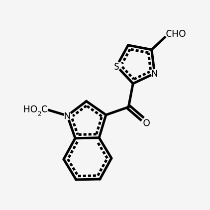 O=Cc1csc(C(=O)c2cn(C(=O)O)c3ccccc23)n1